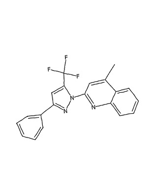 Cc1cc(-n2nc(-c3ccccc3)cc2C(F)(F)F)nc2ccccc12